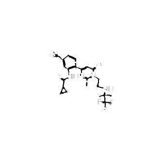 Cc1nc(-c2ccc(C#N)cc2NC(=O)C2CC2)cc(=O)n1CC(=O)NC(C)(C)C(F)(F)F